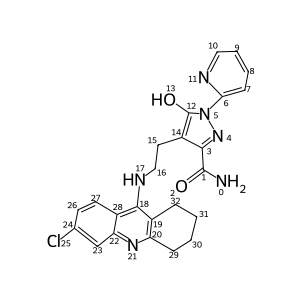 NC(=O)c1nn(-c2ccccn2)c(O)c1CCNc1c2c(nc3cc(Cl)ccc13)CCCC2